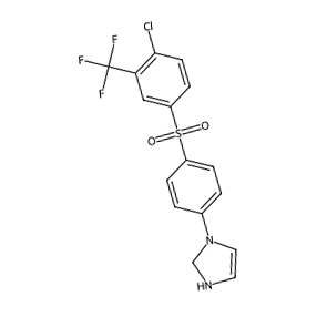 O=S(=O)(c1ccc(N2C=CNC2)cc1)c1ccc(Cl)c(C(F)(F)F)c1